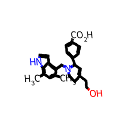 Cc1cc(C)c2[nH]ccc2c1CN1CCC(CCO)=CC1c1ccc(C(=O)O)cc1